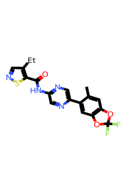 CCc1cnsc1C(=O)Nc1cnc(-c2cc3c(cc2C)OC(F)(F)O3)cn1